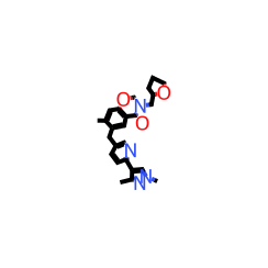 Cc1cc2c(cc1Cc1ccc(-c3cn(C)nc3C)nc1)C(=O)N(CC1CCCO1)CO2